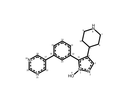 On1ncc(C2CCNCC2)c1-c1cccc(-c2cncnc2)c1